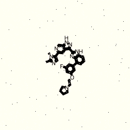 Cc1ncc(-c2cc3c(-c4nc5c(-c6cc(F)cc(OCCN7CCCC7)c6)cccc5[nH]4)n[nH]c3cn2)n1C